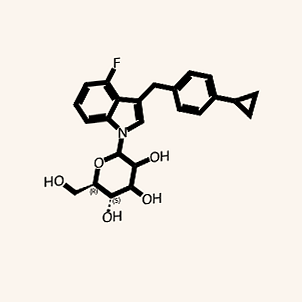 OC[C@H]1OC(n2cc(Cc3ccc(C4CC4)cc3)c3c(F)cccc32)C(O)C(O)[C@@H]1O